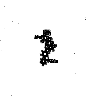 CNCc1ccccc1[C@H]1CC[C@H](Cc2ccc(F)c(O[C@H]3C[C@@H](C(=O)OC)N(C(=O)OC(C)(C)C)C3)c2F)CC1